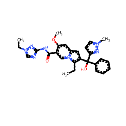 CCc1c(C(O)(c2ccccc2)c2ccn(C)n2)cc2cc(OC)c(C(=O)Nc3ncn(CC)n3)cn12